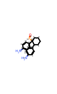 Nc1ccc(C2CCCCC2(P=O)c2ccc(N)cc2)cc1